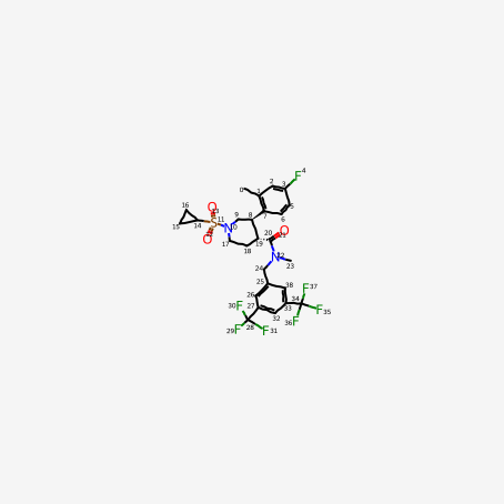 Cc1cc(F)ccc1[C@@H]1CN(S(=O)(=O)C2CC2)CC[C@H]1C(=O)N(C)Cc1cc(C(F)(F)F)cc(C(F)(F)F)c1